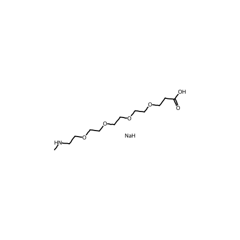 CNCCOCCOCCOCCOCCC(=O)O.[NaH]